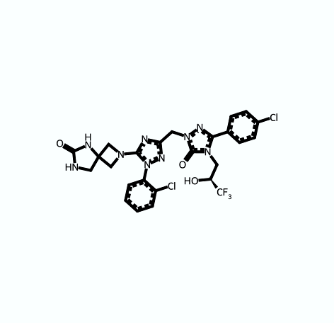 O=C1NCC2(CN(c3nc(Cn4nc(-c5ccc(Cl)cc5)n(C[C@H](O)C(F)(F)F)c4=O)nn3-c3ccccc3Cl)C2)N1